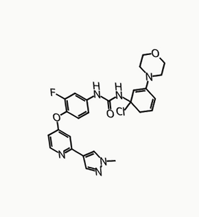 Cn1cc(-c2cc(Oc3ccc(NC(=O)NC4(Cl)C=C(N5CCOCC5)C=CC4)cc3F)ccn2)cn1